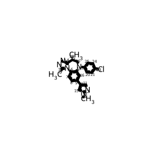 Cc1nnc2n1-c1ccc(-c3cnn(C)c3)cc1N(c1ccc(Cl)cc1)C[C@H]2C